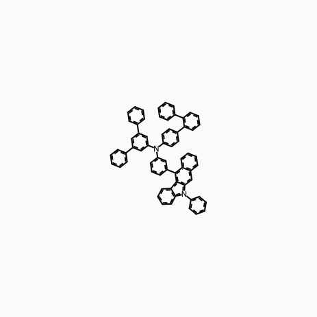 c1ccc(-c2cc(-c3ccccc3)cc(N(c3ccc(-c4ccccc4-c4ccccc4)cc3)c3cccc(-c4c5ccccc5cc5c4c4ccccc4n5-c4ccccc4)c3)c2)cc1